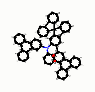 c1ccc(N(c2ccc3c4ccccc4c4ccccc4c3c2)c2cc3c(cc2-c2ccc4c5ccccc5c5ccccc5c4c2)-c2ccccc2C32c3ccccc3-c3ccccc32)cc1